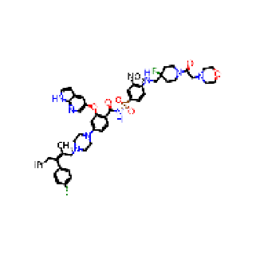 C/C(CN1CCN(c2ccc(C(=O)NS(=O)(=O)c3ccc(NCC4(F)CCN(C(=O)CN5CCOCC5)CC4)c([N+](=O)[O-])c3)c(Oc3cnc4[nH]ccc4c3)c2)CC1)=C(\CC(C)C)c1ccc(Cl)cc1